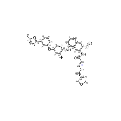 CCOc1cc2ncnc(Nc3ccc(Oc4cccc(-c5nnc(C)o5)c4)cc3F)c2cc1NC(=O)/C=C/CN[C@H]1CCOC1